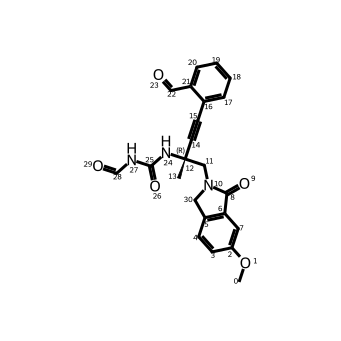 COc1ccc2c(c1)C(=O)N(C[C@@](C)(C#Cc1ccccc1C=O)NC(=O)NC=O)C2